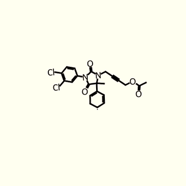 CC(=O)OCC#CCN1C(=O)N(c2ccc(Cl)c(Cl)c2)C(=O)C1(C)C1=CC[CH]C=C1